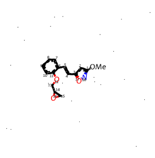 COc1cc(/C=C/c2ccccc2OCC2CO2)on1